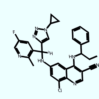 [2H]C(Nc1cc(Cl)c2ncc(C#N)c(NC(CC)c3ccccc3)c2c1)(c1cn(C2CC2)nn1)c1cc(F)cnc1C